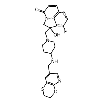 O=c1ccc2ncc(F)c3c2n1C[C@@]3(O)CN1CCC(NCc2cnc3c(c2)SCCO3)CC1